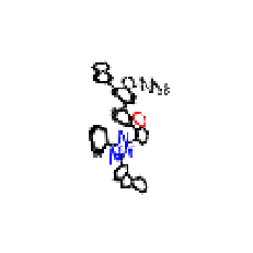 COc1ccc(-c2cccc3c2oc2cccc(-c4nc(-c5ccccc5)nc(-c5ccc6ccc7ccccc7c6c5)n4)c23)cc1-c1ccc2ccccc2c1